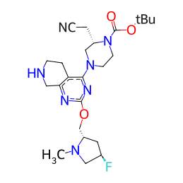 CN1C[C@H](F)C[C@H]1COc1nc2c(c(N3CCN(C(=O)OC(C)(C)C)[C@@H](CC#N)C3)n1)CCNC2